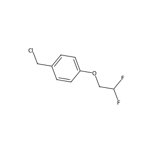 FC(F)COc1ccc(CCl)cc1